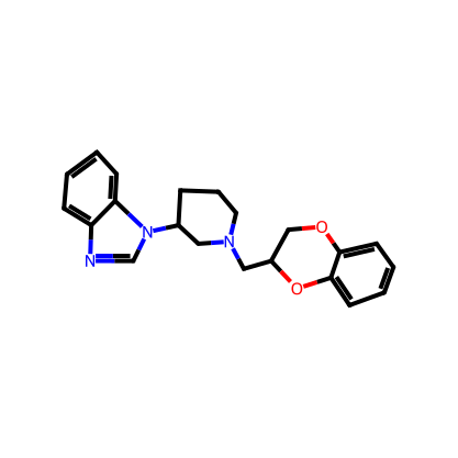 c1ccc2c(c1)OCC(CN1CCCC(n3cnc4ccccc43)C1)O2